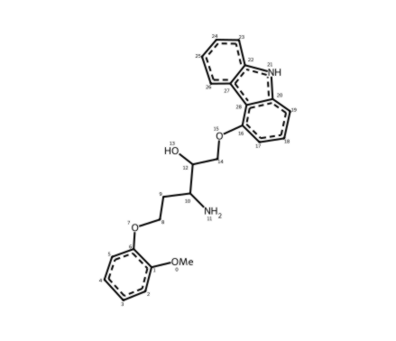 COc1ccccc1OCCC(N)C(O)COc1cccc2[nH]c3ccccc3c12